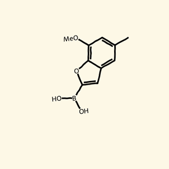 COc1cc(C)cc2cc(B(O)O)oc12